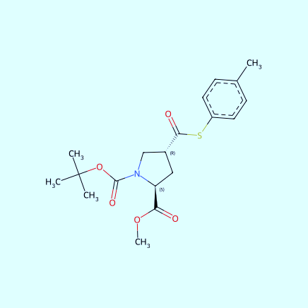 COC(=O)[C@@H]1C[C@@H](C(=O)Sc2ccc(C)cc2)CN1C(=O)OC(C)(C)C